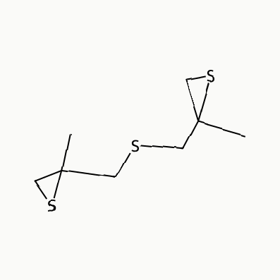 CC1(CSCC2(C)CS2)CS1